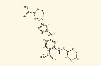 C=CC(=O)N1CCC[C@H](n2cc(Nc3ncc(C(N)=O)c(NCC4CCCCC4)n3)cn2)C1